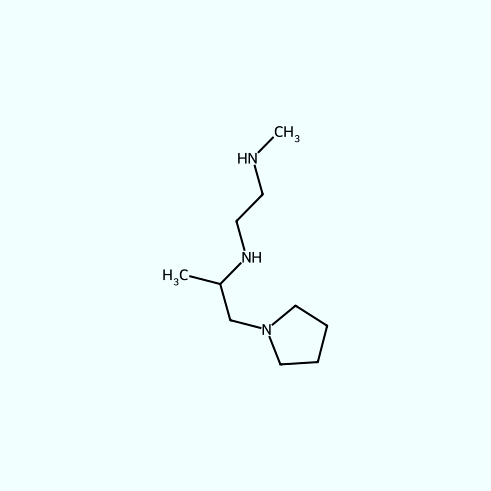 CNCCNC(C)CN1CCCC1